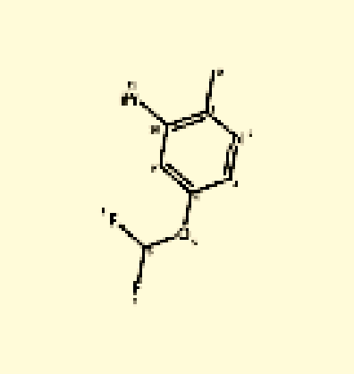 Cc1ncc(OC(F)F)cc1C(C)C